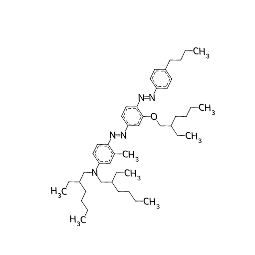 CCCCc1ccc(/N=N/c2ccc(/N=N/c3ccc(N(CC(CC)CCCC)CC(CC)CCCC)cc3C)cc2OCC(CC)CCCC)cc1